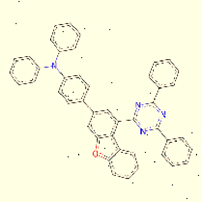 c1ccc(-c2nc(-c3ccccc3)nc(-c3cc(-c4ccc(N(c5ccccc5)c5ccccc5)cc4)cc4oc5ccccc5c34)n2)cc1